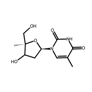 Cc1cn([C@H]2CC(O)[C@@](C)(CO)O2)c(=O)[nH]c1=O